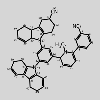 CN1C(c2cccc(C#N)c2)=CC=CC1c1cc(N2C3=C(CC(C#N)CC3)C3CCC=CC32)cc(-n2c3c(c4c2CCC=C4)CCC=C3)c1